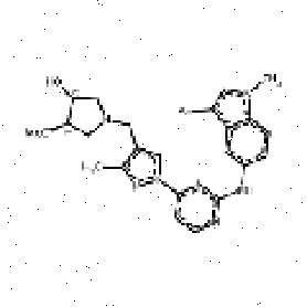 CO[C@@H]1CN(Cc2cn(-c3ccnc(Nc4ccc5c(c4)c(C(C)=O)cn5C)n3)nc2C)C[C@@H]1O